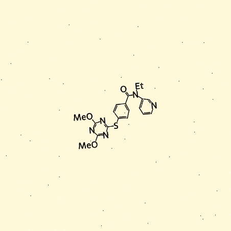 CCN(C(=O)c1ccc(Sc2nc(OC)nc(OC)n2)cc1)c1cccnc1